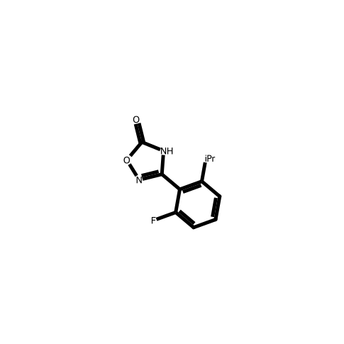 CC(C)c1cccc(F)c1-c1noc(=O)[nH]1